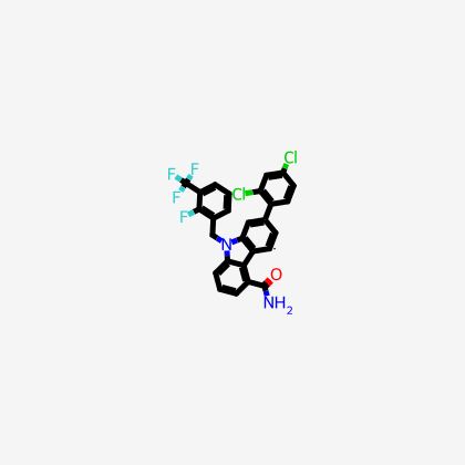 NC(=O)c1cccc2c1c1[c]cc(-c3ccc(Cl)cc3Cl)cc1n2Cc1cccc(C(F)(F)F)c1F